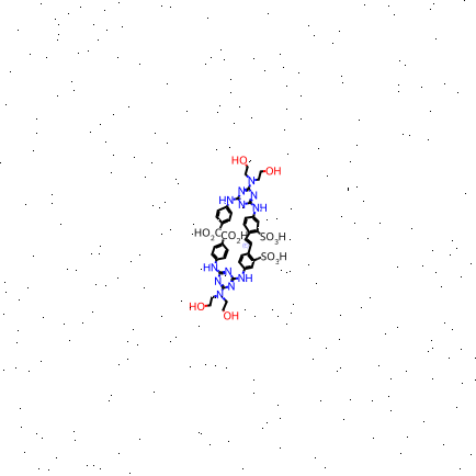 O=C(O)c1ccc(Nc2nc(Nc3ccc(/C=C/c4ccc(Nc5nc(Nc6ccc(C(=O)O)cc6)nc(N(CCO)CCO)n5)cc4S(=O)(=O)O)c(S(=O)(=O)O)c3)nc(N(CCO)CCO)n2)cc1